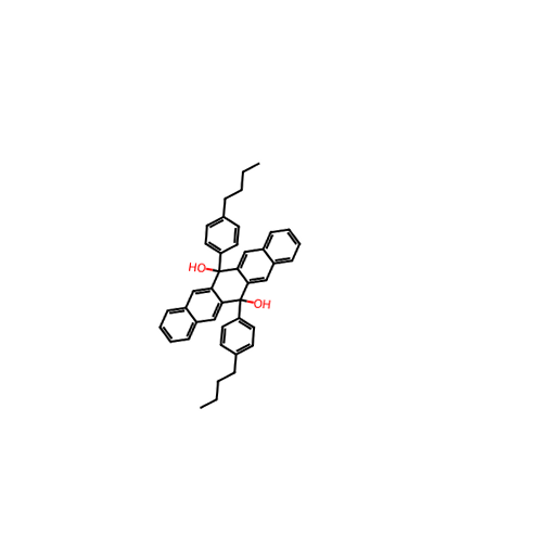 CCCCc1ccc(C2(O)c3cc4ccccc4cc3C(O)(c3ccc(CCCC)cc3)c3cc4ccccc4cc32)cc1